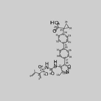 C=CC(=C)S(=O)(=O)NC(=O)Nc1c(C)noc1-c1ccc(-c2ccc(C3(C(=O)O)CC3)cc2)cc1